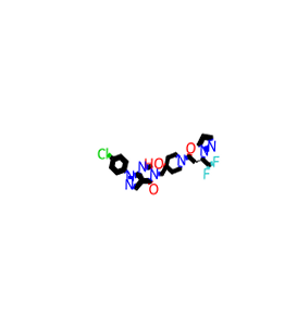 O=C(C[C@@H](C(F)F)n1cccn1)N1CCC(O)(Cn2cnc3c(cnn3-c3ccc(Cl)cc3)c2=O)CC1